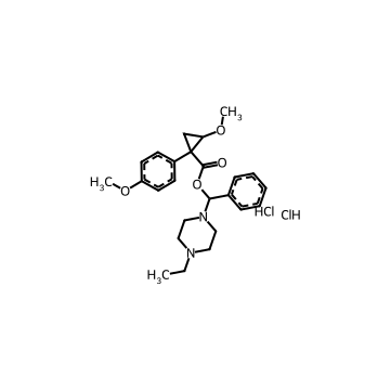 CCN1CCN(C(OC(=O)C2(c3ccc(OC)cc3)CC2OC)c2ccccc2)CC1.Cl.Cl